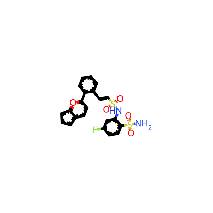 NS(=O)(=O)c1ccc(F)cc1NS(=O)(=O)C=Cc1ccccc1-c1ccc2cccc-2o1